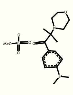 COS(=O)(=O)[O-].C[S+](C)c1ccc(C(=O)C(C)(C)N2CCOCC2)cc1